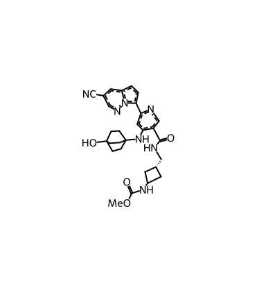 COC(=O)N[C@H]1C[C@H](CNC(=O)c2cnc(-c3ccc4cc(C#N)cnn34)cc2NC23CCC(O)(CC2)CC3)C1